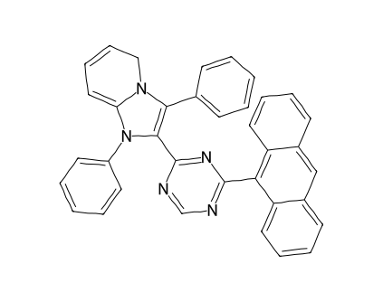 C1=CCN2C(=C1)N(c1ccccc1)C(c1ncnc(-c3c4ccccc4cc4ccccc34)n1)=C2c1ccccc1